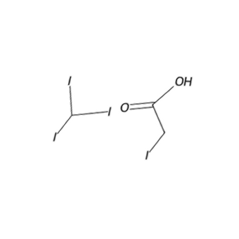 IC(I)I.O=C(O)CI